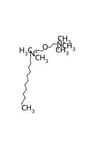 CCCCCCCCCCCC[N+](C)(C)CCOCC[N+](C)(C)C